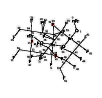 CCC[O][Sn]([O][Sn]([O]CCC)([C](F)(F)C(F)(F)C(F)(F)CF)[C](F)(F)C(F)(F)C(F)(F)CF)([C](F)(F)C(F)(F)C(F)(F)CF)[C](F)(F)C(F)(F)C(F)(F)CF